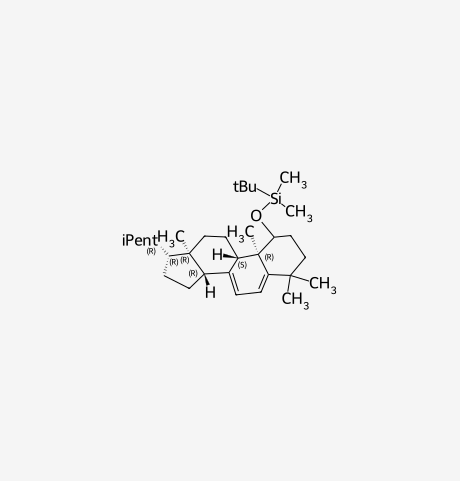 CCC[C@@H](C)[C@H]1CC[C@H]2C3=CC=C4C(C)(C)CCC(O[Si](C)(C)C(C)(C)C)[C@]4(C)[C@H]3CC[C@]12C